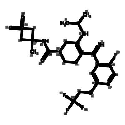 CC(C)NC1=C(C(=N)c2cc(OCC(F)(F)F)ncc2F)CC[C@@H](C(=O)NC2(C)CS(=O)(=O)C2)C1